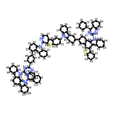 c1ccc(-c2nc(-c3ccc(-c4cccc5c4c4ccccc4n5-c4nccc5c4sc4ccc(-n6c7ccccc7c7cc(-c8ccc9c(c8)c8sc%10ccccc%10c8c8c%10ccccc%10n(-c%10nc(-c%11ccccc%11)c%11ccccc%11n%10)c98)ccc76)cc45)cc3)nc(-n3c4ccccc4c4ccc5c6ccccc6n(-c6ccccc6)c5c43)n2)cc1